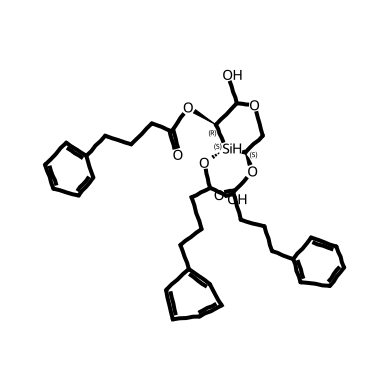 O=C(CCCc1ccccc1)O[C@@H]1COC(O)[C@H](OC(=O)CCCc2ccccc2)[Si@H]1OC(O)CCCc1ccccc1